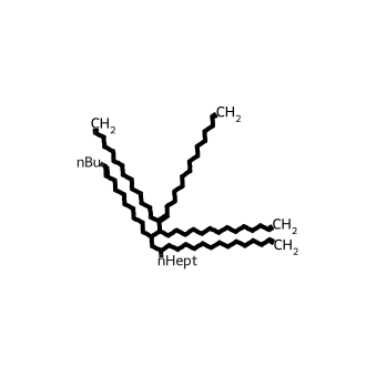 C=CCCCCCCCCCCCCC=C(CCCCCCCCCCCCC=C)C(CCCCCCCCCCCCC=C)C(CCCCCCCCC=CCCCC)CC(CCCCCCC)CCCCCCCCCCCCC=C